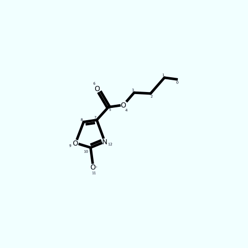 CCCCOC(=O)c1coc([O])n1